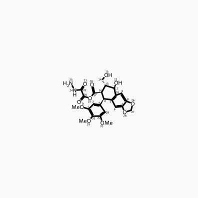 COc1cc([C@@H]2c3cc4c(cc3[C@H](O)[C@@H](CO)[C@@H]2C(=O)OC(=O)C(=O)NN)OCO4)cc(OC)c1OC